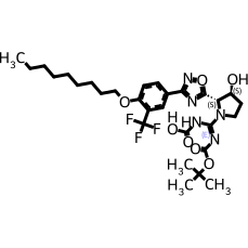 CCCCCCCCCOc1ccc(-c2noc([C@@H]3[C@@H](O)CCN3/C(=N/C(=O)OC(C)(C)C)NC(=O)O)n2)cc1C(F)(F)F